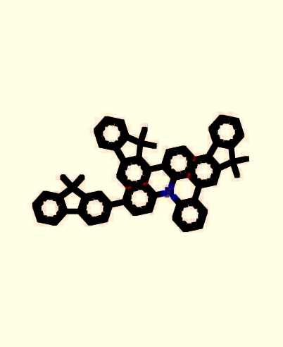 CC1(C)c2ccccc2-c2ccc(-c3ccc(N(c4ccccc4-c4ccc5c(c4)C(C)(C)c4ccccc4-5)c4ccccc4-c4cccc5c4C(C)(C)c4ccccc4-5)cc3)cc21